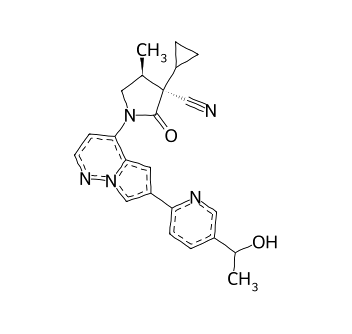 CC(O)c1ccc(-c2cc3c(N4C[C@@H](C)[C@@](C#N)(C5CC5)C4=O)ccnn3c2)nc1